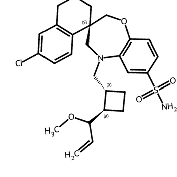 C=CC(OC)[C@@H]1CC[C@H]1CN1C[C@@]2(CCCc3cc(Cl)ccc32)COc2ccc(S(N)(=O)=O)cc21